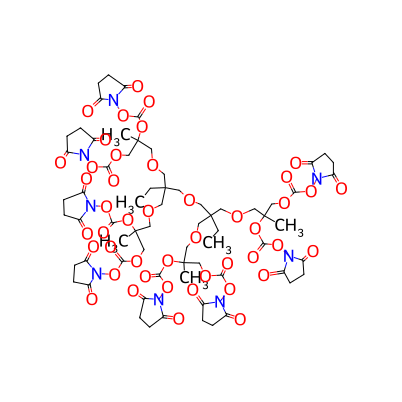 CCC(COCC(CC)(COCC(C)(COC(=O)ON1C(=O)CCC1=O)OC(=O)ON1C(=O)CCC1=O)COCC(C)(COC(=O)ON1C(=O)CCC1=O)OC(=O)ON1C(=O)CCC1=O)(COCC(C)(COC(=O)ON1C(=O)CCC1=O)OC(=O)ON1C(=O)CCC1=O)COCC(C)(COC(=O)ON1C(=O)CCC1=O)OC(=O)ON1C(=O)CCC1=O